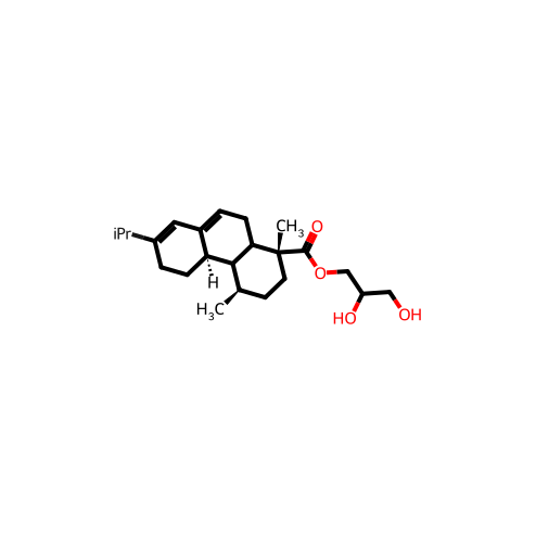 CC(C)C1=CC2=CCC3C([C@H](C)CC[C@@]3(C)C(=O)OCC(O)CO)[C@H]2CC1